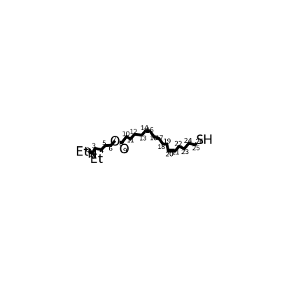 CCN(CC)CCCCOC(=O)CCCC/C=C\CCCC/C=C\CCCCS